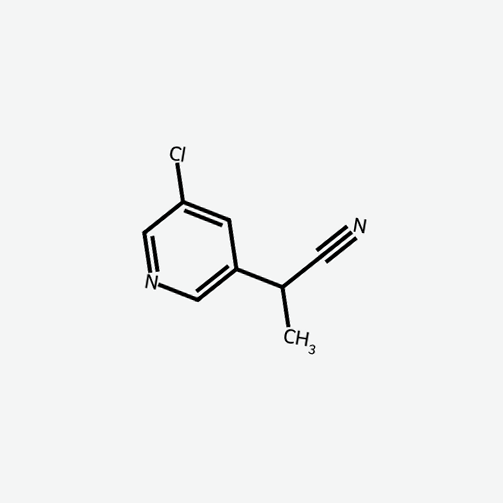 CC(C#N)c1cncc(Cl)c1